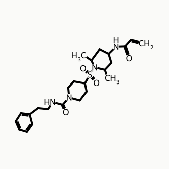 C=CC(=O)NC1CC(C)N(S(=O)(=O)C2CCN(C(=O)NCCc3ccccc3)CC2)C(C)C1